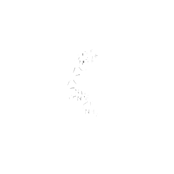 Cc1cc(-c2cccc(-n3cnn(CC(CN)=C(F)F)c3=O)c2)cc2c1N(OC(=O)C(F)(F)F)C(=O)CC2